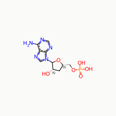 Nc1ncnc2c1ncn2C1O[C@H](COP(=O)(O)O)C[C@@H]1O